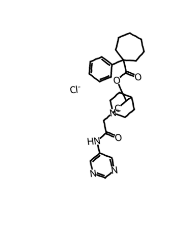 O=C(C[N+]12CCC(CC1)C(OC(=O)C1(c3ccccc3)CCCCCC1)C2)Nc1cncnc1.[Cl-]